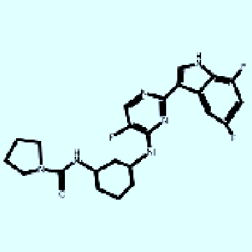 O=C(NC1CCCC(Nc2nc(-c3c[nH]c4c(F)cc(F)cc34)ncc2F)C1)N1CCCC1